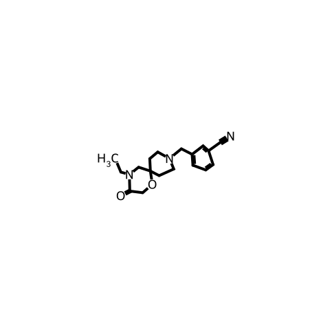 CCN1CC2(CCN(Cc3cccc(C#N)c3)CC2)OCC1=O